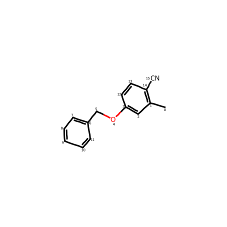 Cc1cc(OCc2ccccc2)ccc1C#N